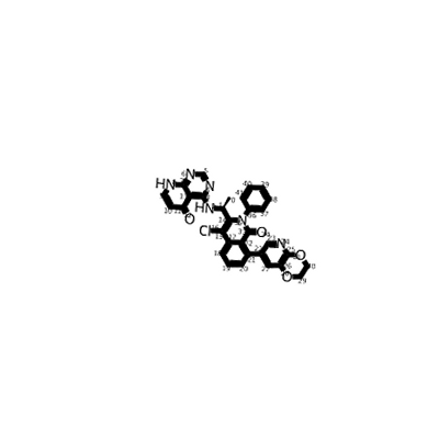 C[C@H](Nc1ncnc2[nH]ccc(=O)c12)c1c(Cl)c2cccc(-c3cnc4c(c3)OCCO4)c2c(=O)n1-c1ccccc1